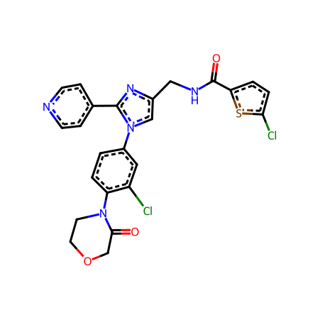 O=C(NCc1cn(-c2ccc(N3CCOCC3=O)c(Cl)c2)c(-c2ccncc2)n1)c1ccc(Cl)s1